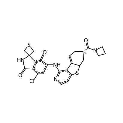 O=C1NC2(CSC2)n2c1c(Cl)cc(Nc1nccc3c1C1=CC[C@H](C(=O)N4CCC4)CC1S3)c2=O